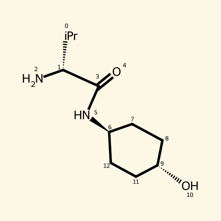 CC(C)[C@@H](N)C(=O)N[C@H]1CC[C@H](O)CC1